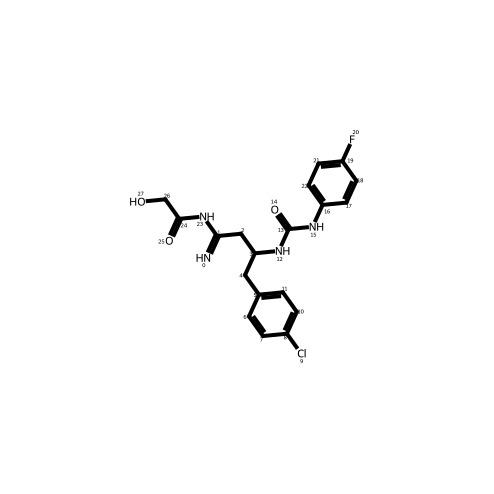 N=C(CC(Cc1ccc(Cl)cc1)NC(=O)Nc1ccc(F)cc1)NC(=O)CO